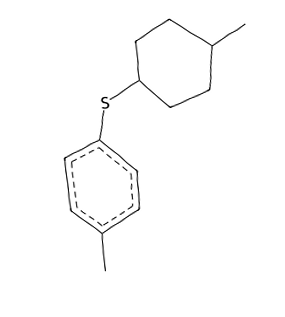 Cc1ccc(SC2CCC(C)CC2)cc1